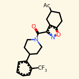 CC(=O)C1CCc2onc(C(=O)N3CCC(c4ccccc4C(F)(F)F)CC3)c2C1